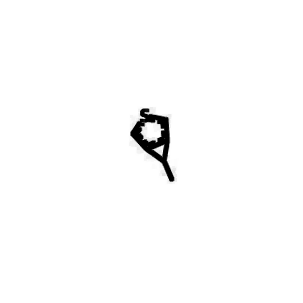 CC1c2cscc21